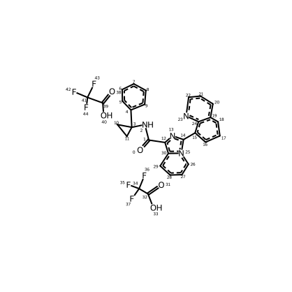 O=C(NC1(c2ccccc2)CC1)c1nc(-c2cccc3cccnc23)n2ccccc12.O=C(O)C(F)(F)F.O=C(O)C(F)(F)F